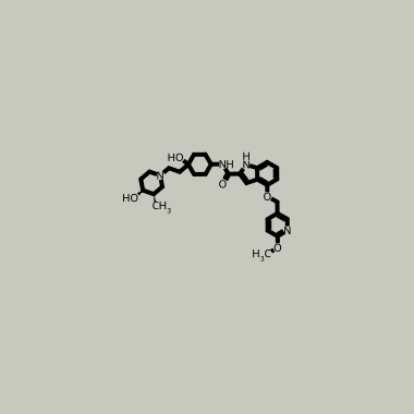 COc1ccc(COc2cccc3[nH]c(C(=O)NC4CCC(O)(CCN5CC[C@H](O)[C@@H](C)C5)CC4)cc23)cn1